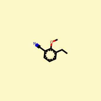 CCc1cccc(C#N)c1OC